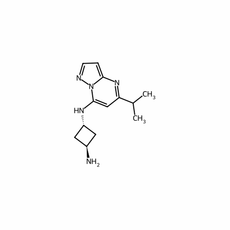 CC(C)c1cc(N[C@H]2C[C@H](N)C2)n2nccc2n1